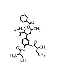 CCC(C)C(=O)Oc1ccc(C(CC(C)OC(=O)C2CCCCC2)[C@H](N)C(=O)O)cc1OC(=O)C(C)CC